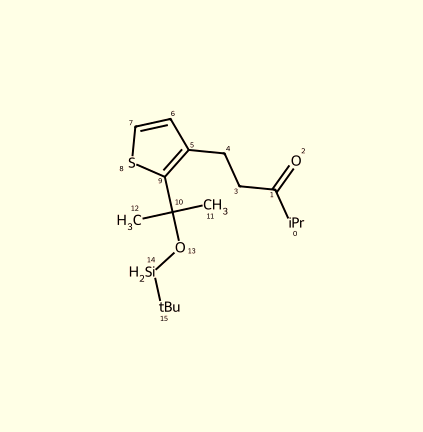 CC(C)C(=O)CCc1ccsc1C(C)(C)O[SiH2]C(C)(C)C